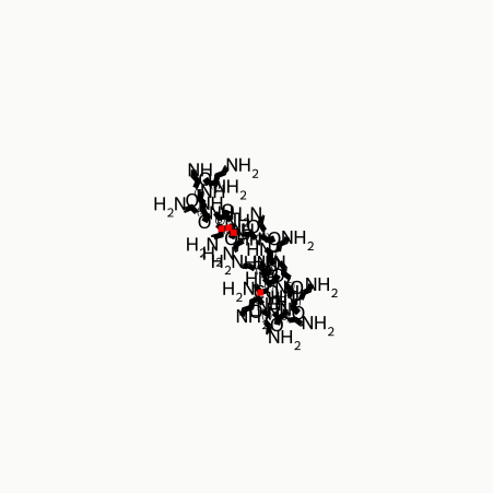 NCCC[C@H](NC(=O)[C@H](CCCN)NC(=O)[C@H](CCCN)NC(=O)[C@H](CCCN)NC(=O)[C@H](CCCN)NC(=O)[C@H](CCCN)NC(=O)[C@H](CCCN)NC(=O)[C@H](CCCN)NC(=O)[C@H](CCCN)NC(=O)[C@H](CCCN)NC(=O)[C@H](CCCN)NC(=O)[C@H](CCCN)NC(=O)[C@H](CCCN)NC(=O)[C@H](CCCN)NC(=O)[C@@H](N)CCCN)C(=O)O